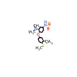 CSc1ccc(Oc2ccc(N[SH](=O)=O)cc2N(C)C)cc1C